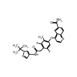 Cc1c(Oc2ccnc3ccc(C(N)=O)cc23)cc(F)c(CC(=O)Nc2cnn(C(C)(C)C)c2)c1F